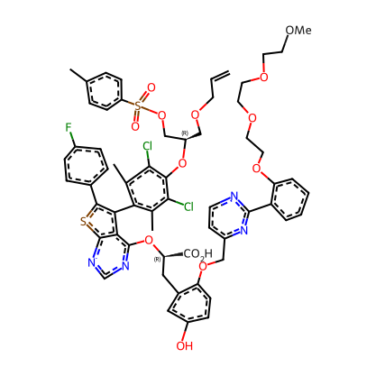 C=CCOC[C@H](COS(=O)(=O)c1ccc(C)cc1)Oc1c(Cl)c(C)c(-c2c(-c3ccc(F)cc3)sc3ncnc(O[C@H](Cc4cc(O)ccc4OCc4ccnc(-c5ccccc5OCCOCCOCCOC)n4)C(=O)O)c23)c(C)c1Cl